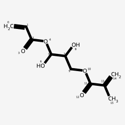 C=CC(=O)OC(O)C(O)COC(=O)C(=C)C